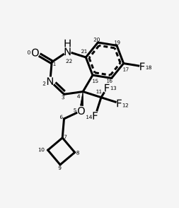 O=C1N=C[C@@](OCC2CCC2)(C(F)(F)F)c2cc(F)ccc2N1